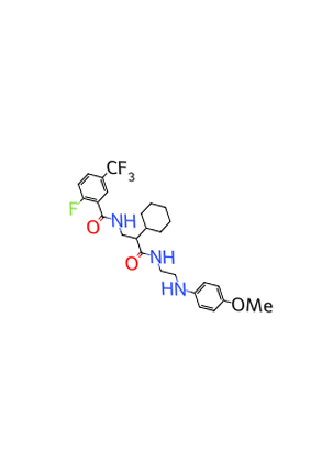 COc1ccc(NCCNC(=O)C(CNC(=O)c2cc(C(F)(F)F)ccc2F)C2CCCCC2)cc1